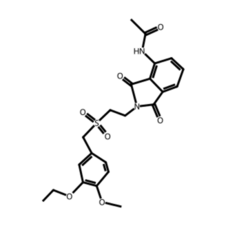 CCOc1cc(CS(=O)(=O)CCN2C(=O)c3cccc(NC(C)=O)c3C2=O)ccc1OC